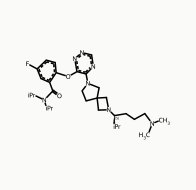 CC(C)[C@H](CCCN(C)C)N1CC2(CCN(c3ncnnc3Oc3ccc(F)cc3C(=O)N(C(C)C)C(C)C)C2)C1